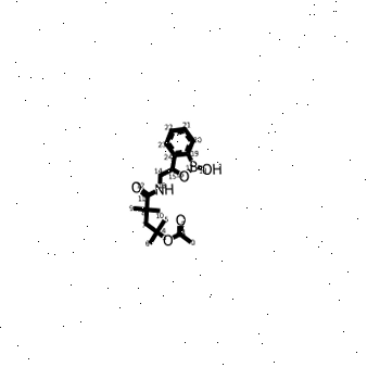 CC(=O)OC(C)(C)CC(C)(C)C(=O)NCC1OB(O)c2ccccc21